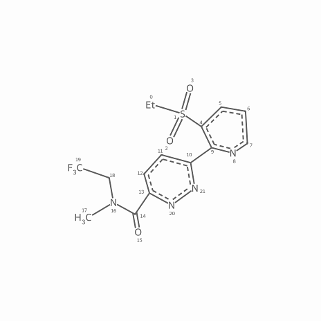 CCS(=O)(=O)c1cccnc1-c1ccc(C(=O)N(C)CC(F)(F)F)nn1